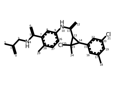 C=C(C)CNC(=C)c1cc(NC(=C)C2C(c3cc(C)cc(Cl)c3)C2(C)Cl)ccc1C